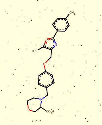 Cc1ccc(-c2nc(COc3ccc(CN4CCOCC4C(=O)O)cc3)c(C)o2)cc1